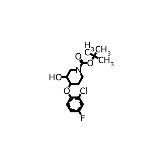 CC(C)(C)OC(=O)N1CCC(Oc2ccc(F)cc2Cl)C(O)C1